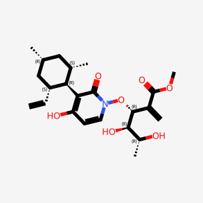 C=C[C@@H]1C[C@H](C)C[C@H](C)[C@H]1c1c(O)ccn(O[C@H](C(=C)C(=O)OC)[C@H](O)[C@@H](C)O)c1=O